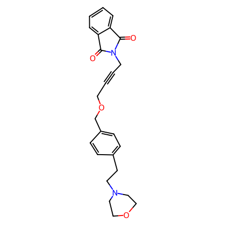 O=C1c2ccccc2C(=O)N1CC#CCOCc1ccc(CCN2CCOCC2)cc1